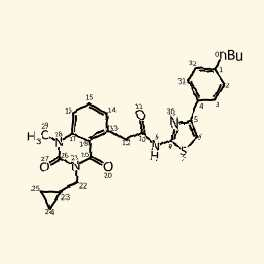 CCCCc1ccc(-c2csc(NC(=O)Cc3cccc4c3c(=O)n(CC3CC3)c(=O)n4C)n2)cc1